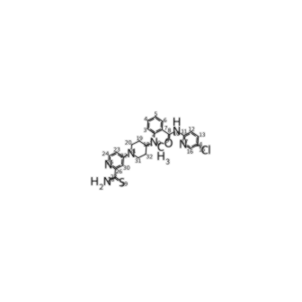 CN(c1ccccc1C(=O)Nc1ccc(Cl)cn1)C1CCN(c2ccnc(C(N)=S)c2)CC1